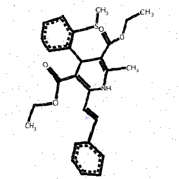 CCOC(=O)C1=C(C)NC(/C=C/c2ccccc2)=C(C(=O)OCC)C1c1ccccc1SC